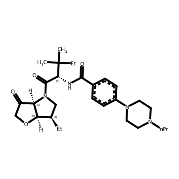 CCCN1CCN(c2ccc(C(=O)N[C@H](C(=O)N3C[C@@H](CC)[C@H]4OCC(=O)[C@H]43)C(C)(C)CC)cc2)CC1